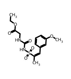 CCOC(=O)CNC(=O)NS(=O)(=O)C(C)=Cc1cccc(OC)c1